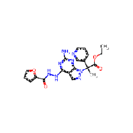 CCOC(=O)C(C)(c1cccnc1)n1ncc2c(NNC(=O)c3ccco3)nc(N)nc21